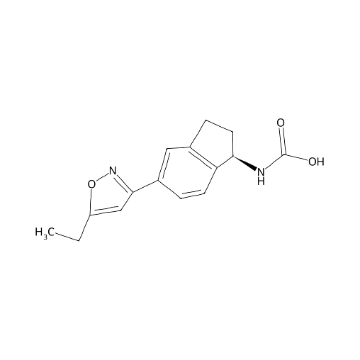 CCc1cc(-c2ccc3c(c2)CC[C@H]3NC(=O)O)no1